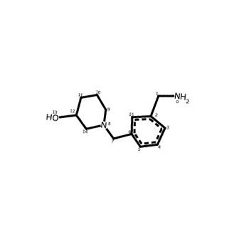 NCc1cccc(CN2CCCC(O)C2)c1